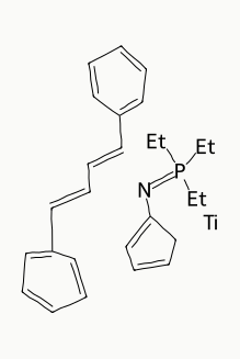 C(C=Cc1ccccc1)=Cc1ccccc1.CCP(CC)(CC)=NC1=CC=CC1.[Ti]